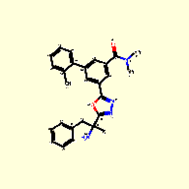 CCCN(CCC)C(=O)c1cc(-c2nnc(C(C)(N)Cc3ccccc3)o2)cc(-c2ccccc2C#N)c1